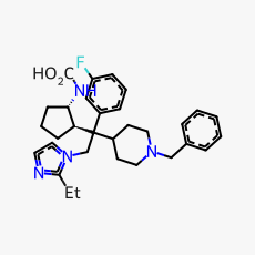 CCc1nccn1CC(c1cccc(F)c1)(C1CCN(Cc2ccccc2)CC1)[C@H]1CCC[C@@H]1NC(=O)O